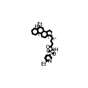 CCc1ccc(S(=O)(=O)NC(=O)CC[C@@H](C)[C@H]2CCC3C4C[C@H](CC)[C@@H]5CCCC[C@]5(C)C4CC[C@@]32C)cn1